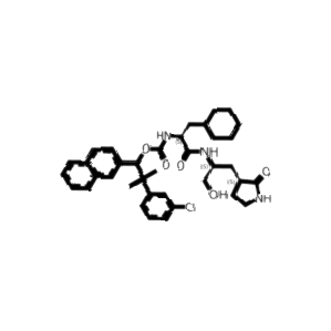 CC(C)(c1cccc(Cl)c1)C(OC(=O)N[C@@H](CC1CCCCC1)C(=O)N[C@H](CO)C[C@@H]1CCNC1=O)c1ccc2ccccc2c1